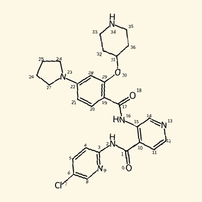 O=C(Nc1ccc(Cl)cn1)c1ccncc1NC(=O)c1ccc(N2CCCC2)cc1OC1CCNCC1